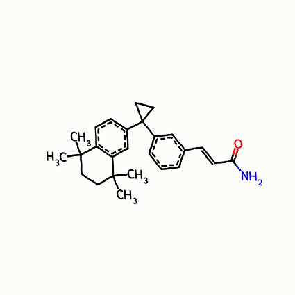 CC1(C)CCC(C)(C)c2cc(C3(c4cccc(/C=C/C(N)=O)c4)CC3)ccc21